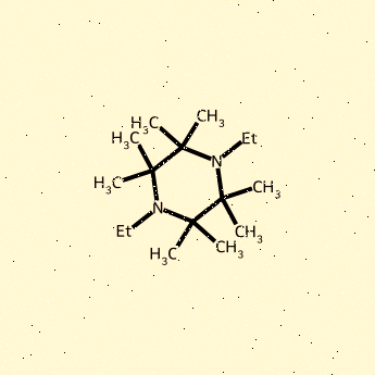 CCN1C(C)(C)C(C)(C)N(CC)C(C)(C)C1(C)C